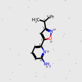 CC(C)C(C)c1cc(-c2cccc(N)n2)on1